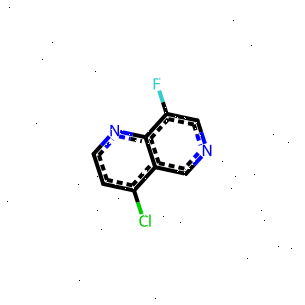 Fc1cncc2c(Cl)ccnc12